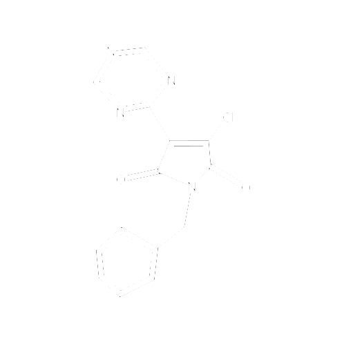 O=C1C(Cl)=C(c2ncncn2)C(=O)N1Cc1ccccc1